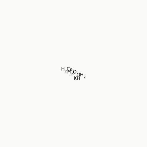 O.O.[CaH2].[KH]